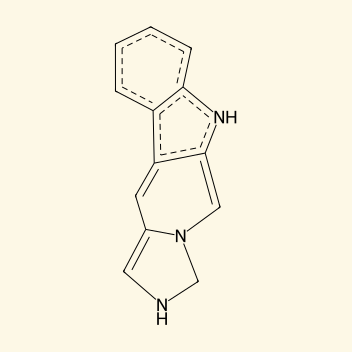 C1=C2C=c3c([nH]c4ccccc34)=CN2CN1